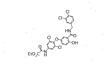 CCOC(=O)C(=O)Nc1cc(Cl)c(Oc2ccc(O)c(C(=O)NCc3ccc(Cl)c(Cl)c3)c2)c(Cl)c1